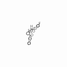 O=C(COc1ccc(F)cc1)Nc1nc2c(s1)CCCC2C(=O)N1CCN(c2ccccc2)CC1